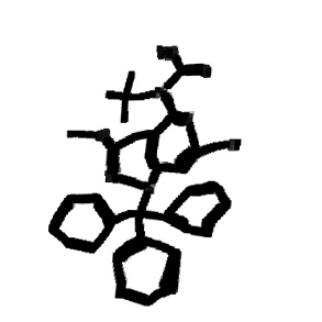 COc1nn(C(c2ccccc2)(c2ccccc2)c2ccccc2)c2cc(Cl)nc(N(C(=O)O)C(C)(C)C)c12